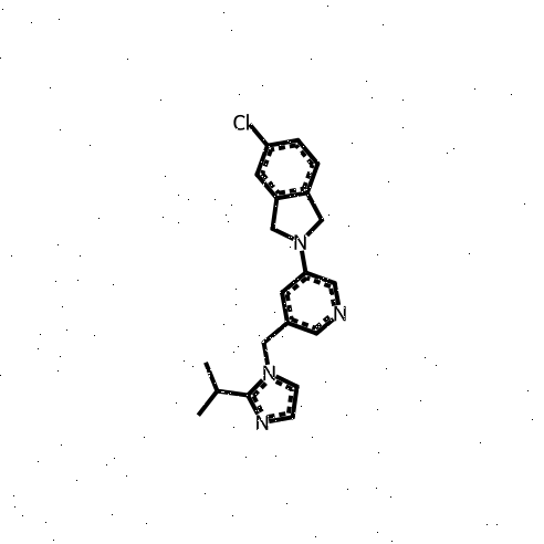 CC(C)c1nccn1Cc1cncc(N2Cc3ccc(Cl)cc3C2)c1